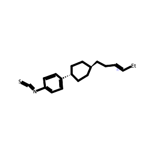 CC/C=C/CC[C@H]1CC[C@H](c2ccc(N=C=S)cc2)CC1